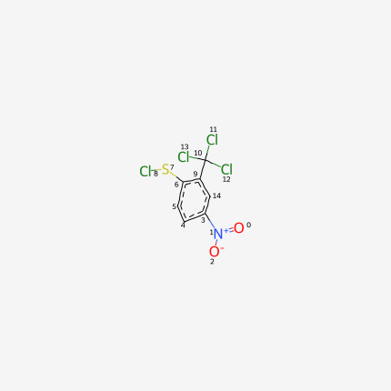 O=[N+]([O-])c1ccc(SCl)c(C(Cl)(Cl)Cl)c1